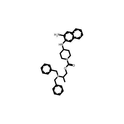 CC(COC(=O)N1CCC(Nc2cc3ccccc3cc2N)CC1)N(Cc1ccccc1)Cc1ccccc1